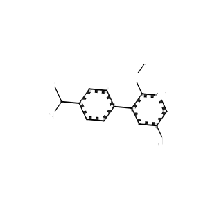 COc1ncc(F)cc1-c1ccc(C(C)N)cc1